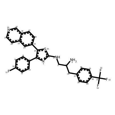 NC(CNc1nc(-c2ccc(F)cc2)c(-c2ccc3cnccc3c2)s1)Cc1ccc(C(F)(F)F)cc1